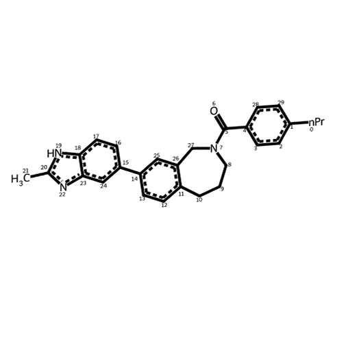 CCCc1ccc(C(=O)N2CCCc3ccc(-c4ccc5[nH]c(C)nc5c4)cc3C2)cc1